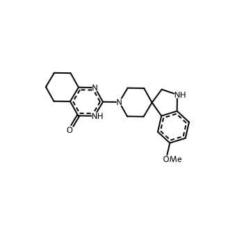 COc1ccc2c(c1)C1(CCN(c3nc4c(c(=O)[nH]3)CCCC4)CC1)CN2